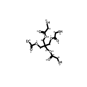 CCC(=O)OCC(COC(=O)CS)(COC(=O)CS)COC(=O)CS